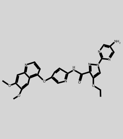 CCOc1cn(-c2ncc(N)cn2)nc1C(=O)Nc1ccc(Oc2ccnc3cc(OC)c(OC)cc23)cn1